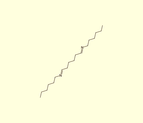 CCCCCCN=CCCCCC=NCCCCCC